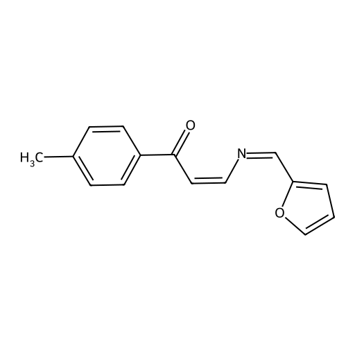 Cc1ccc(C(=O)/C=C\N=C/c2ccco2)cc1